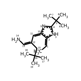 C/C=c1/[nH]c(C(C)(C)C)n/c1=C/C(=C\N)CC(C)(C)C